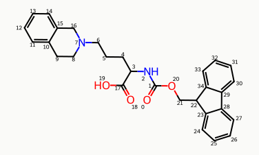 O=C(NC(CCCN1CCc2ccccc2C1)C(=O)O)OCC1c2ccccc2-c2ccccc21